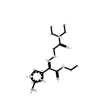 CCOC(=O)/C(=N\OCC(=O)N(CC)CC)c1csc(N)n1